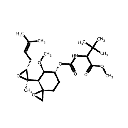 COC(=O)C(NC(=O)O[C@@H]1CC[C@]2(CO2)[C@@H]([C@@]2(C)O[C@@H]2CC=C(C)C)[C@H]1OC)C(C)(C)C